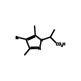 Cc1nn(C(C)C(=O)O)c(C)c1Br